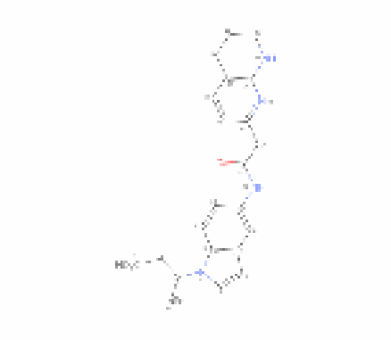 CCCC(CC(=O)O)n1ccc2cc(NC(=O)Cc3ccc4c(n3)NCCC4)ccc21